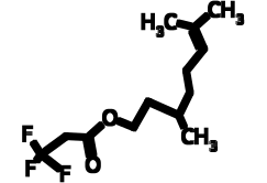 CC(C)=CCCC(C)CCOC(=O)CC(F)(F)F